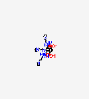 O=C(O)c1ccc(C(=O)O)c2c(C(=O)NNCCCN3CCCC3)c(NCCCN3CCCC3)cc(C(=O)NNCCCN3CCCC3)c12